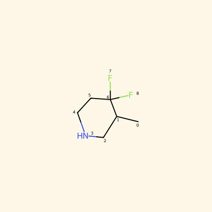 CC1CNCCC1(F)F